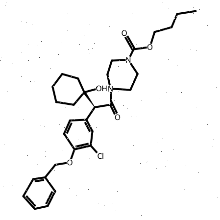 CCCCOC(=O)N1CCN(C(=O)[C@@H](c2ccc(OCc3ccccc3)c(Cl)c2)C2(O)CCCCC2)CC1